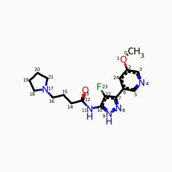 COc1cncc(-c2n[nH]c(NC(=O)CCCN3CCCC3)c2F)c1